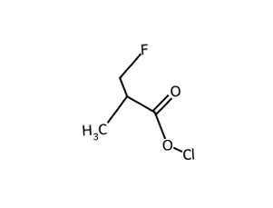 CC(CF)C(=O)OCl